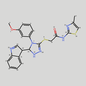 COc1cccc(N2C(SCC(=O)Nc3nc(C)cs3)=NNC2C2C=Nc3ccccc32)c1